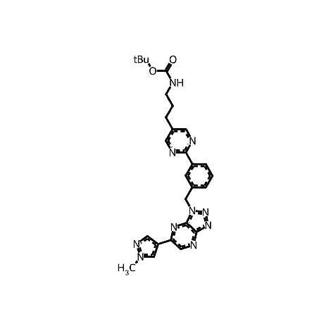 Cn1cc(-c2cnc3nnn(Cc4cccc(-c5ncc(CCCNC(=O)OC(C)(C)C)cn5)c4)c3n2)cn1